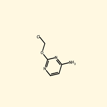 Nc1ccnc(OCCl)n1